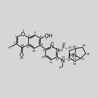 Cc1coc2cc(O)c(-c3ccc(N(C)[C@H]4CC5CCC(N5)[C@H]4F)nn3)cc2c1=O